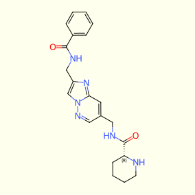 O=C(NCc1cn2ncc(CNC(=O)[C@H]3CCCCN3)cc2n1)c1ccccc1